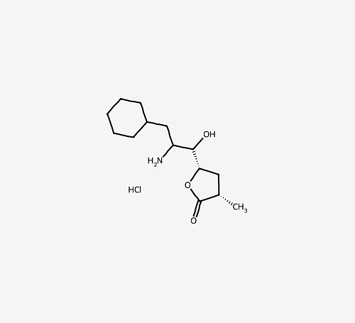 C[C@H]1C[C@@H](C(O)C(N)CC2CCCCC2)OC1=O.Cl